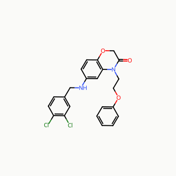 O=C1COc2ccc(NCc3ccc(Cl)c(Cl)c3)cc2N1CCOc1ccccc1